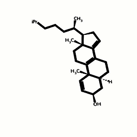 CC(C)CCC[C@@H](C)[C@H]1CC=C2C3=C(CC[C@@]21C)[C@@]1(C)C=C[C@H](O)C[C@@H]1CC3